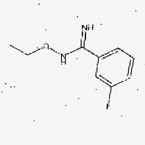 CCONC(=N)c1cccc(F)c1